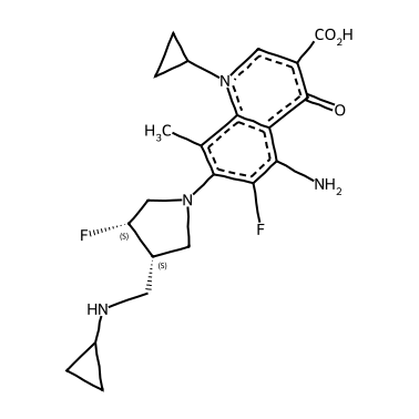 Cc1c(N2C[C@H](CNC3CC3)[C@H](F)C2)c(F)c(N)c2c(=O)c(C(=O)O)cn(C3CC3)c12